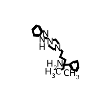 CC(C)C(N)(CCCN1CCN(c2nc3ccccc3[nH]2)CC1)c1ccccc1